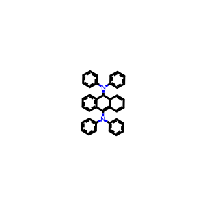 C1=CC2=C(N(c3ccccc3)c3ccccc3)c3ccccc3C(N(c3ccccc3)c3ccccc3)C2C=C1